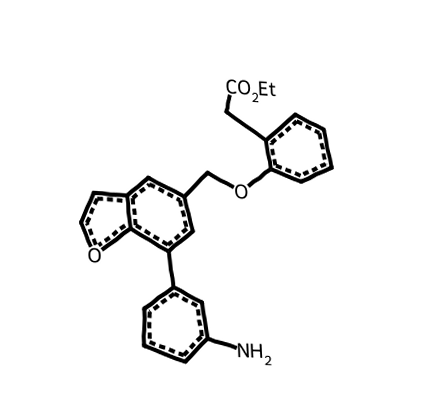 CCOC(=O)Cc1ccccc1OCc1cc(-c2cccc(N)c2)c2occc2c1